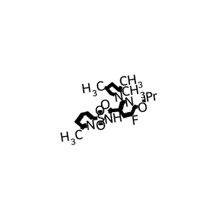 Cc1cccc(S(=O)(=O)NC(=O)c2cc(F)c(OC(C)C)nc2N2CC(C)CC2(C)C)n1